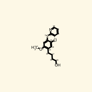 COc1cc(Sc2ccccn2)c(Cl)cc1CCCCO